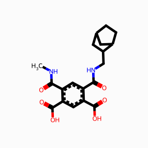 CNC(=O)c1cc(C(=O)NCC2CC3CCC2C3)c(C(=O)O)cc1C(=O)O